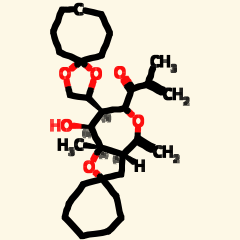 C=C(C)C(=O)C1OC(=C)[C@@H]2CC3(CCCCCCC3)O[C@]2(C)[C@@H](O)[C@H]1C1COC2(CCCCCCC2)O1